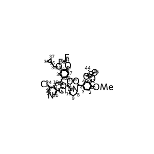 COc1ccc(C(=O)N2CCC[C@H]2C(=O)O[C@@H](Cc2c(Cl)cncc2Cl)c2ccc(OC(F)F)c(OCC3CC3)c2)cc1OS(C)(=O)=O